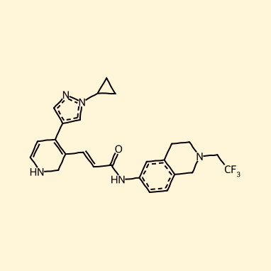 O=C(/C=C/C1=C(c2cnn(C3CC3)c2)C=CNC1)Nc1ccc2c(c1)CCN(CC(F)(F)F)C2